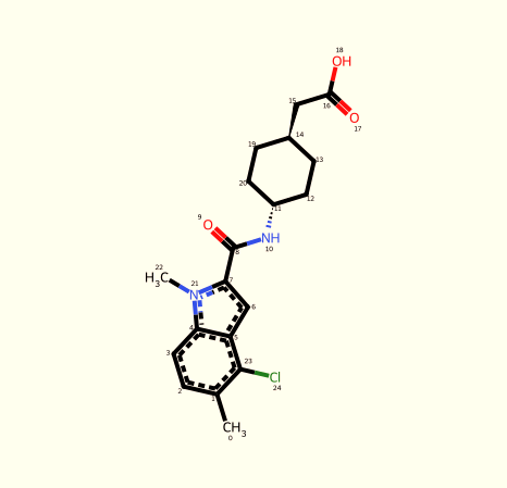 Cc1ccc2c(cc(C(=O)N[C@H]3CC[C@H](CC(=O)O)CC3)n2C)c1Cl